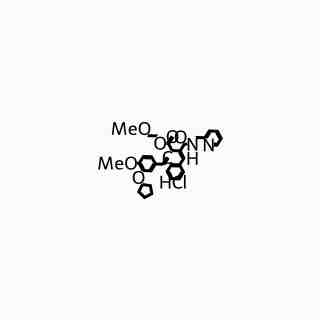 COCCOC(=O)C(=C=Cc1ccc(OC)c(OC2CCCC2)c1)/C(=C\c1ccccc1)C(=O)NCc1ccccn1.Cl